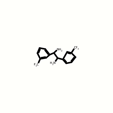 NC(c1cccc(C(F)(F)F)c1)C(N)c1cccc(C(F)(F)F)c1